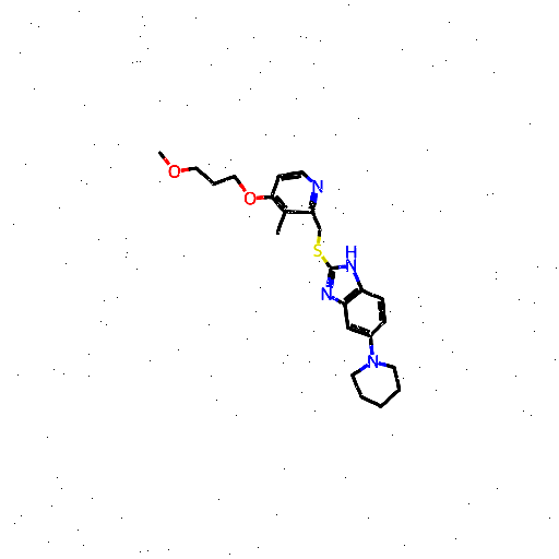 COCCCOc1ccnc(CSc2nc3cc(N4CCCCC4)ccc3[nH]2)c1C